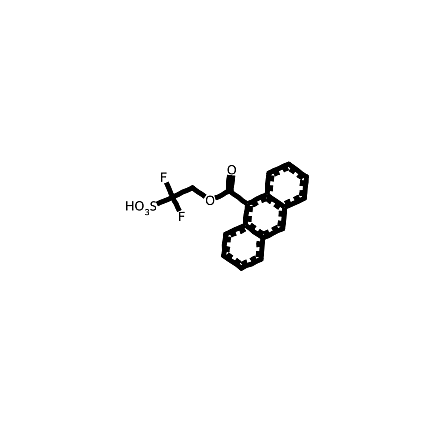 O=C(OCC(F)(F)S(=O)(=O)O)c1c2ccccc2cc2ccccc12